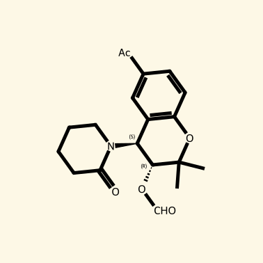 CC(=O)c1ccc2c(c1)[C@H](N1CCCCC1=O)[C@@H](OC=O)C(C)(C)O2